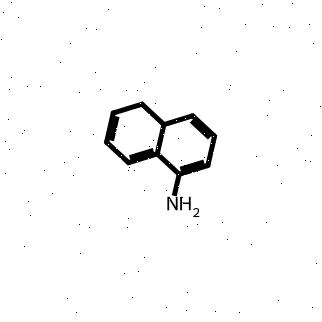 NC1=CC=CC2CC=CC=C12